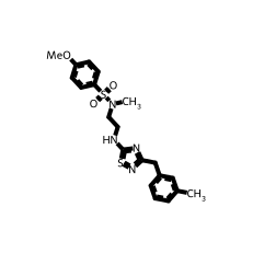 COc1ccc(S(=O)(=O)N(C)CCNc2nc(Cc3cccc(C)c3)ns2)cc1